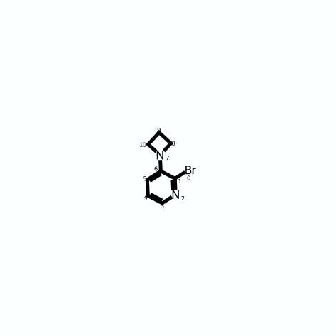 Brc1ncccc1N1CCC1